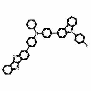 Fc1ccc(-n2c3ccccc3c3cc(-c4ccc(N(c5ccccc5)c5ccc(-c6ccc7c(c6)oc6c8ccccc8oc76)cc5)cc4)ccc32)cc1